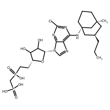 CCC[C@@H]1C[C@]2(C)CCC[C@](Nc3nc(Cl)nc4c3ncn4[C@@H]3O[C@H](CCP(=O)(O)CP(=O)(O)O)C(O)C3O)(C1)C2